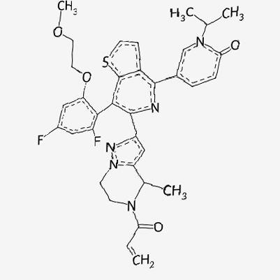 C=CC(=O)N1CCn2nc(-c3nc(-c4ccc(=O)n(C(C)C)c4)c4ccsc4c3-c3c(F)cc(F)cc3OCCOC)cc2C1C